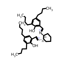 CCCCc1cc(/C=C/[C@H]2CCCC[C@@H]2/N=C/c2cc(CCCC)cc(CCCC)c2O)c(O)c(CCCC)c1